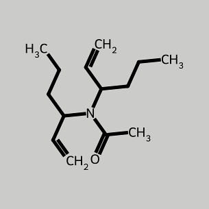 C=CC(CCC)N(C(C)=O)C(C=C)CCC